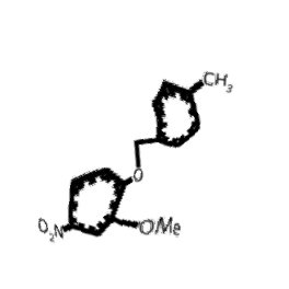 COc1cc([N+](=O)[O-])ccc1OCc1ccc(C)cc1